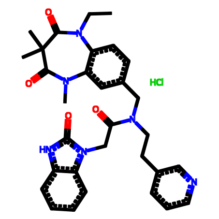 CCN1C(=O)C(C)(C)C(=O)N(C)c2cc(CN(CCc3cccnc3)C(=O)Cn3c(=O)[nH]c4ccccc43)ccc21.Cl